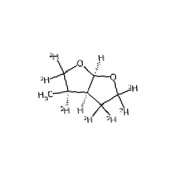 [2H]C1([2H])O[C@@H]2OC([2H])([2H])[C@]([2H])(C)[C@@H]2C1([2H])[2H]